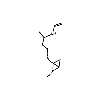 C=CNC(C)CCCC12CC1C2C